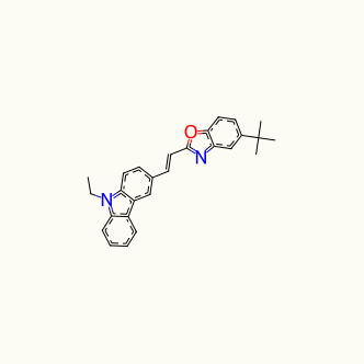 CCn1c2ccccc2c2cc(/C=C/c3nc4cc(C(C)(C)C)ccc4o3)ccc21